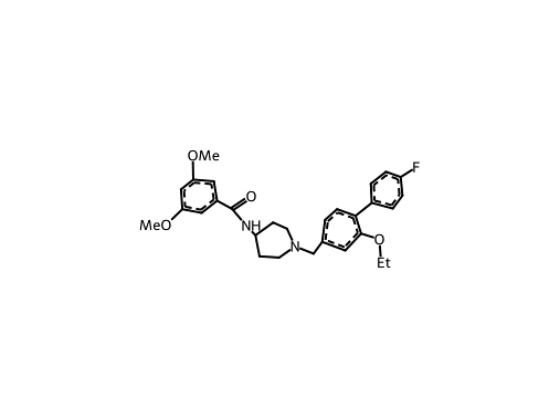 CCOc1cc(CN2CCC(NC(=O)c3cc(OC)cc(OC)c3)CC2)ccc1-c1ccc(F)cc1